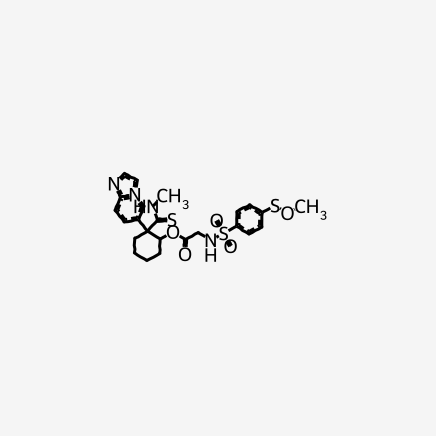 CNC(=S)C1(c2ccc3nccn3c2)CCCCC1OC(=O)CNS(=O)(=O)c1ccc(SOC)cc1